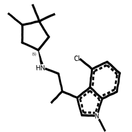 CC(CN[C@H]1CC(C)C(C)(C)C1)c1cn(C)c2cccc(Cl)c12